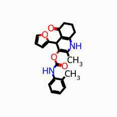 CC1=C(OC(=O)Nc2ccccc2C)C(c2ccco2)C2=C(CCCC2=O)N1